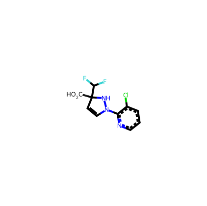 O=C(O)C1(C(F)F)C=CN(c2ncccc2Cl)N1